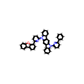 C1=CC2c3cc4c(cc3N(c3cccc(-c5cccc6c5oc5ccccc56)n3)C2C=C1)c1ccccc1n4-c1cccc(-c2ccccc2)n1